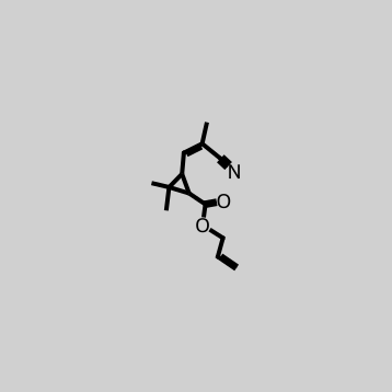 C=CCOC(=O)C1C(C=C(C)C#N)C1(C)C